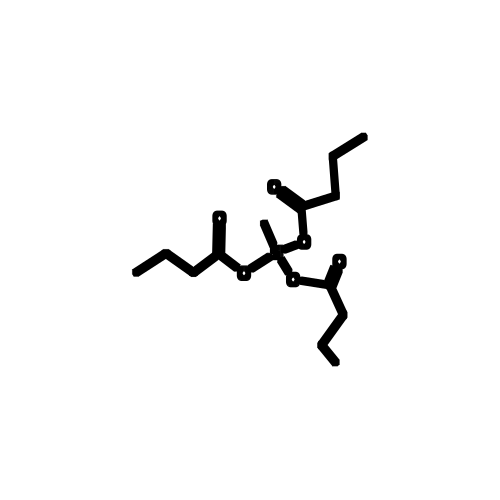 CCCC(=O)O[Si](C)(OC(=O)CCC)OC(=O)CCC